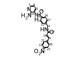 Nc1ncccc1NC(=O)c1ccc(CNC(=O)C=Cc2ccc([N+](=O)[O-])cc2)cc1